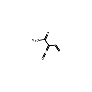 C=CC(=C=O)C(=O)OC